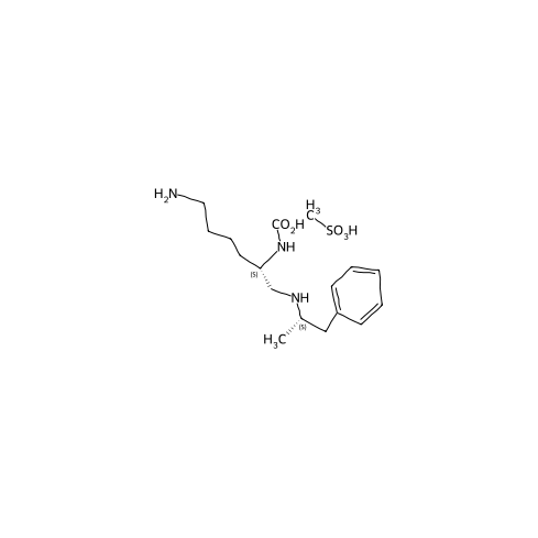 CS(=O)(=O)O.C[C@@H](Cc1ccccc1)NC[C@H](CCCCN)NC(=O)O